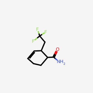 NC(=O)C1CCC=CC1CC(F)(F)F